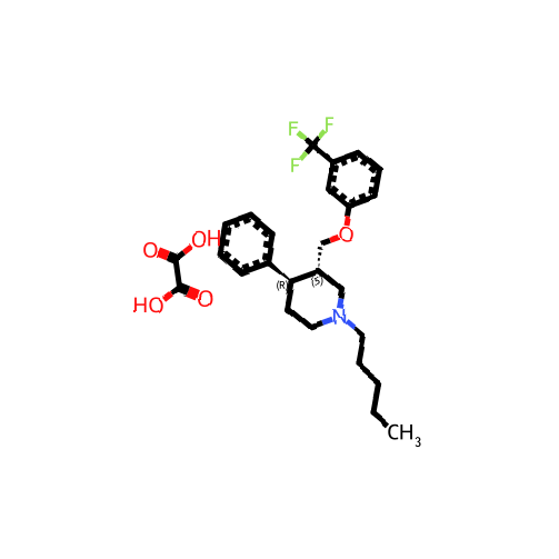 CCCCCN1CC[C@@H](c2ccccc2)[C@H](COc2cccc(C(F)(F)F)c2)C1.O=C(O)C(=O)O